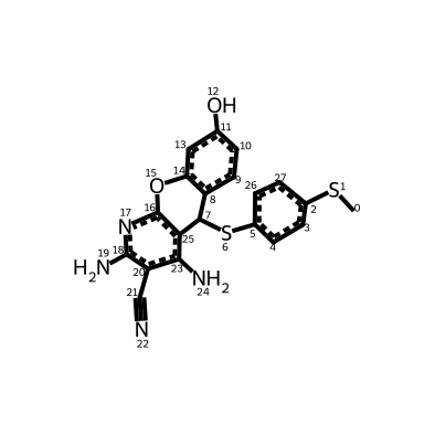 CSc1ccc(SC2c3ccc(O)cc3Oc3nc(N)c(C#N)c(N)c32)cc1